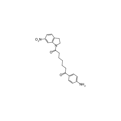 Nc1ccc(C(=O)CCCCCC(=O)N2CCc3ccc([N+](=O)[O-])cc32)cc1